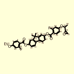 CCOc1ccc(C(=O)Oc2ccc3c(c2)C(C)(C)c2cc(OC(=O)c4ccc(OC(C)C5CO5)cc4F)ccc2-3)c(F)c1